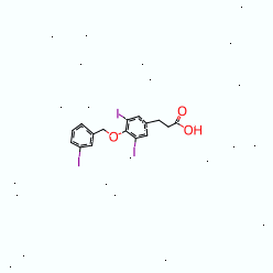 O=C(O)CCc1cc(I)c(OCc2cccc(I)c2)c(I)c1